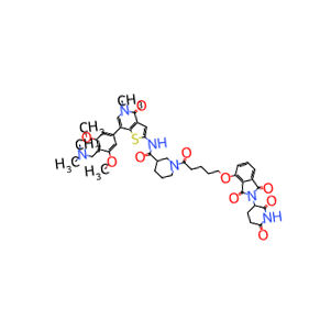 COc1cc(-c2cn(C)c(=O)c3cc(NC(=O)C4CCCN(C(=O)CCCCOc5cccc6c5C(=O)N(C5CCC(=O)NC5=O)C6=O)C4)sc23)cc(OC)c1CN(C)C